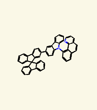 c1ccc2c(c1)-c1ccccc1C21c2ccccc2-c2ccc(-c3ccc4c(c3)c3ccccc3n4-c3cccc4ccc5cccnc5c34)cc21